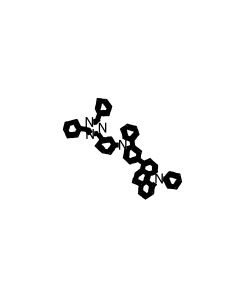 c1ccc(-c2nc(-c3ccccc3)nc(-c3cccc(-n4c5ccccc5c5cc(-c6ccc7c8c6ccc6cccc(c68)n7-c6ccccc6)ccc54)c3)n2)cc1